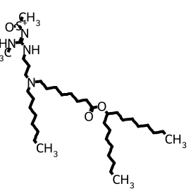 CCCCCCCCC(CCCCCCCC)OC(=O)CCCCCCCN(CCCCCCCC)CCCN/C(=N/[S+](C)[O-])NC